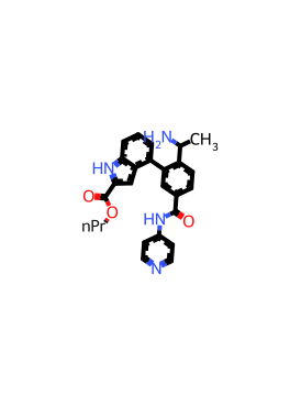 CCCOC(=O)c1cc2c(-c3cc(C(=O)Nc4ccncc4)ccc3C(C)N)cccc2[nH]1